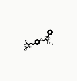 Cc1oc(-c2ccccc2)nc1COc1ccc(CCC2NC(=O)OC2=O)cc1